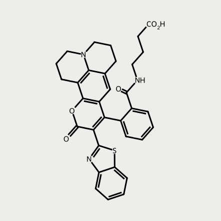 O=C(O)CCCNC(=O)c1ccccc1-c1c(-c2nc3ccccc3s2)c(=O)oc2c3c4c(cc12)CCCN4CCC3